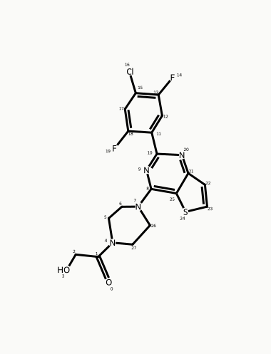 O=C(CO)N1CCN(c2nc(-c3cc(F)c(Cl)cc3F)nc3ccsc23)CC1